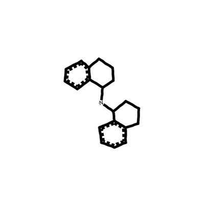 c1ccc2c(c1)CCCC2[N]C1CCCc2ccccc21